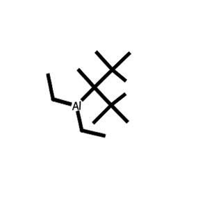 C[CH2][Al]([CH2]C)[C](C)(C(C)(C)C)C(C)(C)C